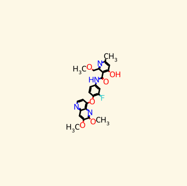 COCc1nc(C)cc(O)c1C(=O)Nc1ccc(Oc2ccnc3cc(OC)c(OC)nc23)c(F)c1